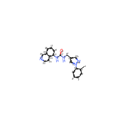 Cc1ccccc1-n1cc(CNC(=O)Nc2cccc3cnccc23)cn1